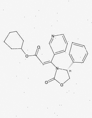 O=C([C]=C(c1cccnc1)N1C(=O)OC[C@H]1c1ccccc1)OC1CCCCC1